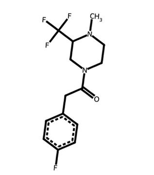 CN1CCN(C(=O)Cc2ccc(F)cc2)CC1C(F)(F)F